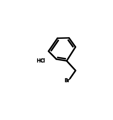 BrCc1ccccc1.Cl